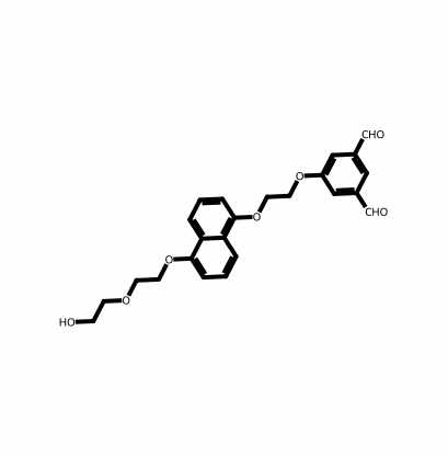 O=Cc1cc(C=O)cc(OCCOc2cccc3c(OCCOCCO)cccc23)c1